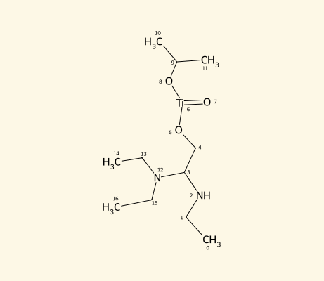 CCNC(C[O][Ti](=[O])[O]C(C)C)N(CC)CC